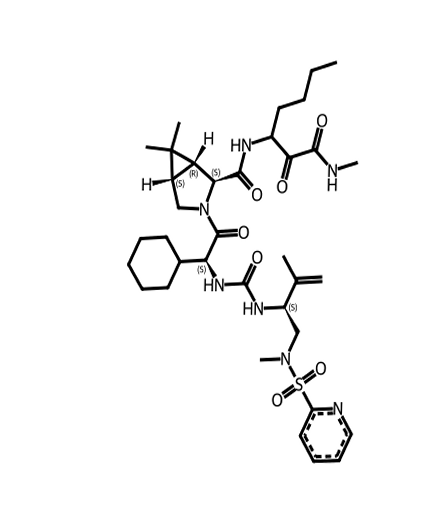 C=C(C)[C@@H](CN(C)S(=O)(=O)c1ccccn1)NC(=O)N[C@H](C(=O)N1C[C@H]2[C@@H]([C@H]1C(=O)NC(CCCC)C(=O)C(=O)NC)C2(C)C)C1CCCCC1